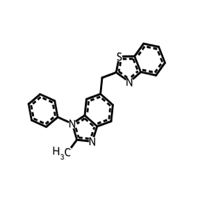 Cc1nc2ccc(Cc3nc4ccccc4s3)cc2n1-c1ccccc1